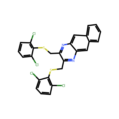 Clc1cccc(Cl)c1SCc1nc2cc3ccccc3cc2nc1CSc1c(Cl)cccc1Cl